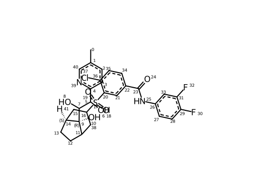 Cc1ccc(C(O)C(O)[C@@]2(O)C3CC[C@H]2CC(S(=O)(=O)c2cc(C(=O)Nc4ccc(F)c(F)c4)ccc2Cl)C3)nc1